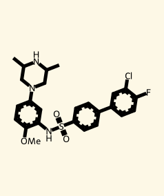 COc1ccc(N2CC(C)NC(C)C2)cc1NS(=O)(=O)c1ccc(-c2ccc(F)c(Cl)c2)cc1